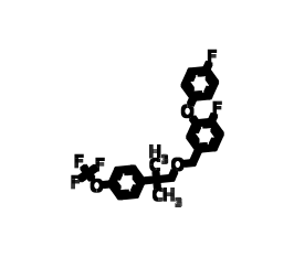 CC(C)(COCc1ccc(F)c(Oc2ccc(F)cc2)c1)c1ccc(OC(F)(F)F)cc1